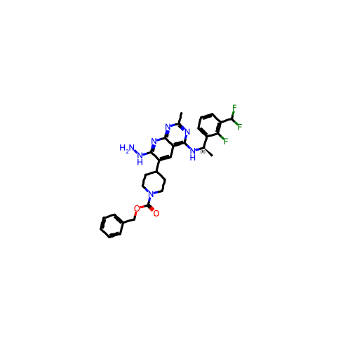 Cc1nc(N[C@H](C)c2cccc(C(F)F)c2F)c2cc(C3CCN(C(=O)OCc4ccccc4)CC3)c(NN)nc2n1